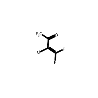 O=C(C(Cl)=C(F)F)C(F)(F)F